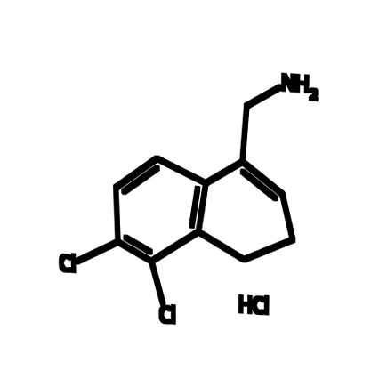 Cl.NCC1=CCCc2c1ccc(Cl)c2Cl